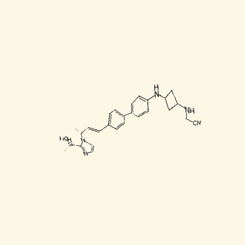 C[C@H](/C=C/c1ccc(-c2ccc(NC3CC(NCC#N)C3)cc2)cc1)n1ccnc1[Si@H](C)O